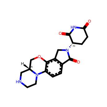 O=C1CC[C@H](N2Cc3c(ccc4c3OC[C@H]3CNCCN43)C2=O)C(=O)N1